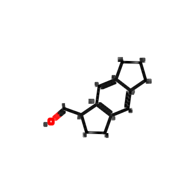 O=CC1CCc2cc3c(cc21)CCC3